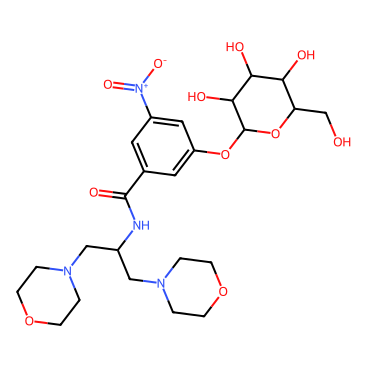 O=C(NC(CN1CCOCC1)CN1CCOCC1)c1cc(OC2OC(CO)C(O)C(O)C2O)cc([N+](=O)[O-])c1